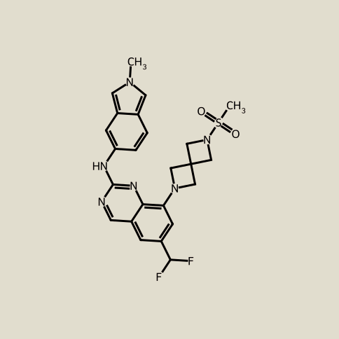 Cn1cc2ccc(Nc3ncc4cc(C(F)F)cc(N5CC6(C5)CN(S(C)(=O)=O)C6)c4n3)cc2c1